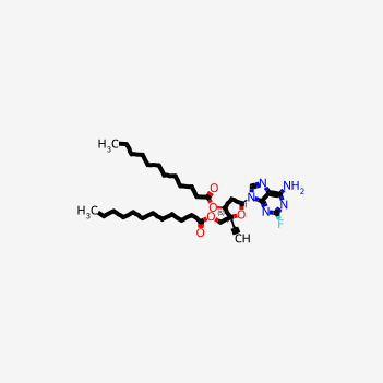 C#C[C@]1(COC(=O)CCCCCCCCCCC)O[C@@H](n2cnc3c(N)nc(F)nc32)C[C@@H]1OC(=O)CCCCCCCCCCC